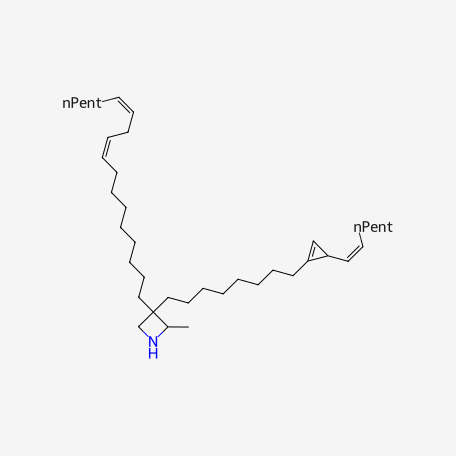 CCCCC/C=C\C/C=C\CCCCCCCCC1(CCCCCCCCC2=CC2/C=C\CCCCC)CNC1C